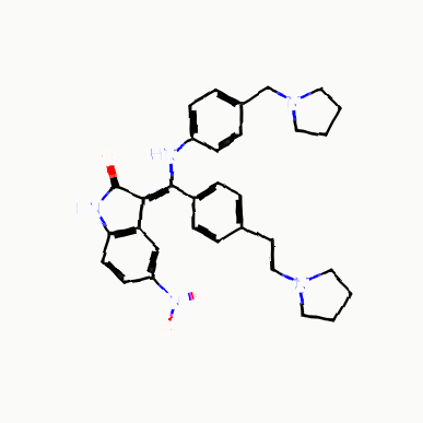 O=C1Nc2ccc([N+](=O)[O-])cc2/C1=C(/Nc1ccc(CN2CCCC2)cc1)c1ccc(CCN2CCCC2)cc1